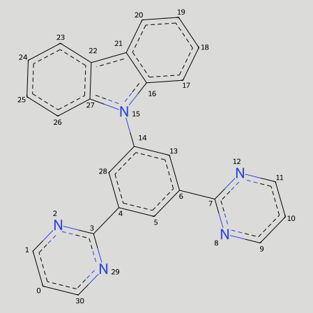 c1cnc(-c2cc(-c3ncccn3)cc(-n3c4ccccc4c4ccccc43)c2)nc1